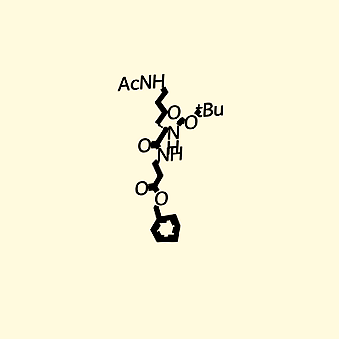 CC(=O)NCCCC[C@H](NC(=O)OC(C)(C)C)C(=O)NCCC(=O)OCc1ccccc1